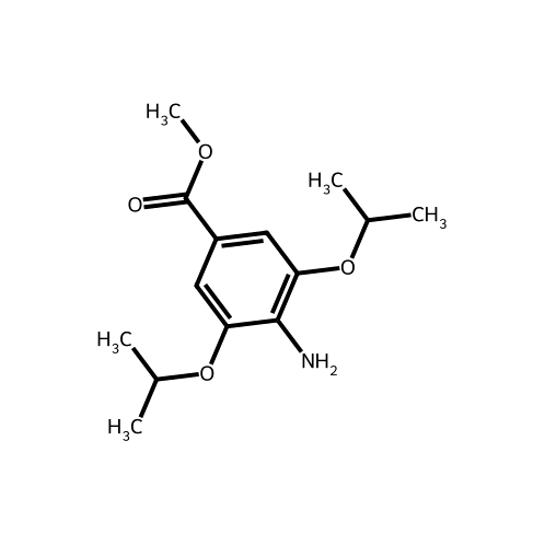 COC(=O)c1cc(OC(C)C)c(N)c(OC(C)C)c1